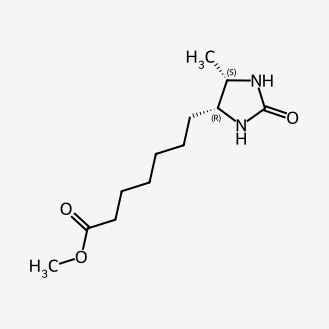 COC(=O)CCCCCC[C@H]1NC(=O)N[C@H]1C